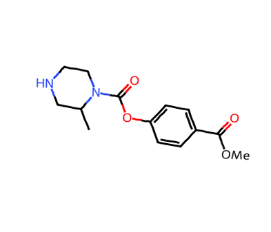 COC(=O)c1ccc(OC(=O)N2CCNCC2C)cc1